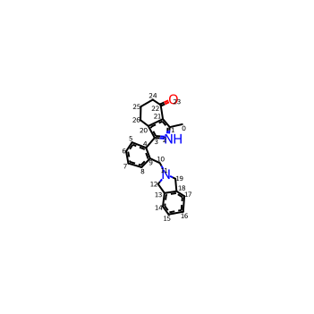 Cc1[nH]c(-c2ccccc2CN2Cc3ccccc3C2)c2c1C(=O)CCC2